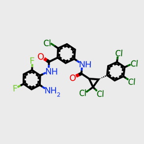 Nc1cc(F)cc(F)c1NC(=O)c1cc(NC(=O)C2[C@H](c3cc(Cl)c(Cl)c(Cl)c3)C2(Cl)Cl)ccc1Cl